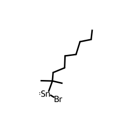 CCCCCCC[C](C)(C)[Sn][Br]